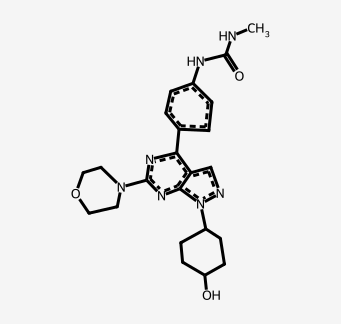 CNC(=O)Nc1ccc(-c2nc(N3CCOCC3)nc3c2cnn3C2CCC(O)CC2)cc1